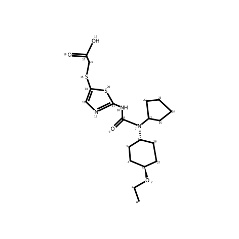 CCO[C@H]1CC[C@H](N(C(=O)Nc2ncc(SCC(=O)O)s2)C2CCCC2)CC1